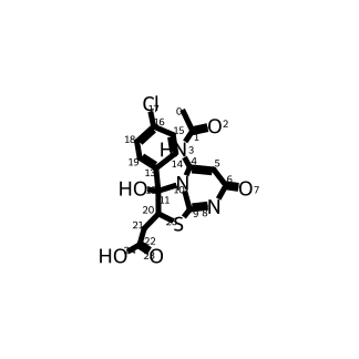 CC(=O)Nc1cc(=O)nc2n1C(O)(c1ccc(Cl)cc1)C(CC(=O)O)S2